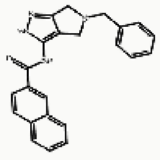 O=C(Nc1[nH]nc2c1CN(Cc1ccccc1)C2)c1ccc2ccccc2c1